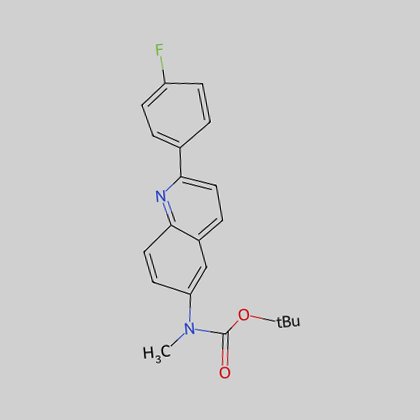 CN(C(=O)OC(C)(C)C)c1ccc2nc(-c3ccc(F)cc3)ccc2c1